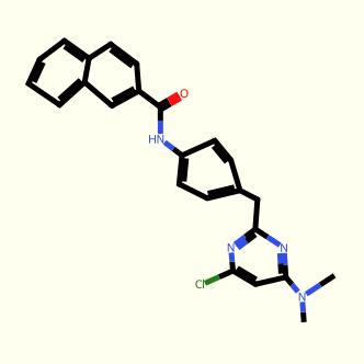 CN(C)c1[c]c(Cl)nc(Cc2ccc(NC(=O)c3ccc4ccccc4c3)cc2)n1